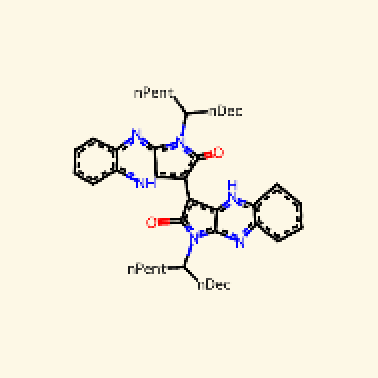 CCCCCCCCCCC(CCCCC)n1c2nc3ccccc3[nH]c-2c(-c2c3[nH]c4ccccc4nc-3n(C(CCCCC)CCCCCCCCCC)c2=O)c1=O